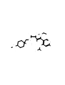 CCn1nc(C(=O)NCC2(O)CCC(S(C)(=O)=O)CC2)c(Cl)c1-c1cnc(Cl)cc1OC(F)F